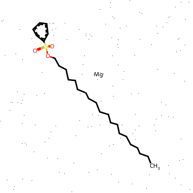 CCCCCCCCCCCCCCCCCCCCOS(=O)(=O)c1ccccc1.[Mg]